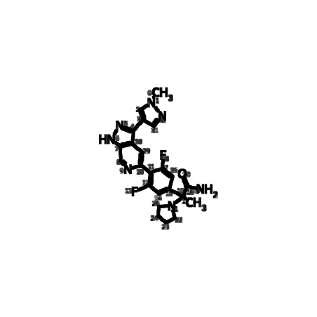 Cn1cc(-c2n[nH]c3cnc(-c4c(F)cc(C(C)(C(N)=O)N5CCCC5)cc4F)cc23)cn1